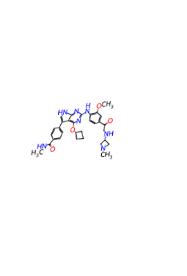 CNC(=O)c1ccc(-c2c[nH]c3nc(Nc4ccc(C(=O)CNC5CN(C)C5)cc4OC)nc(OC4CCC4)c23)cc1